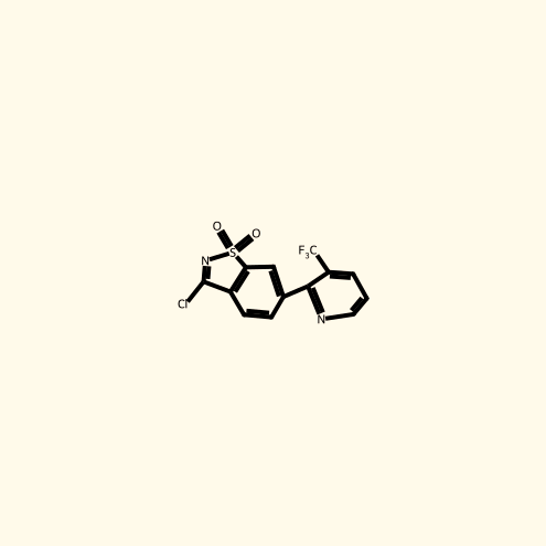 O=S1(=O)N=C(Cl)c2ccc(-c3ncccc3C(F)(F)F)cc21